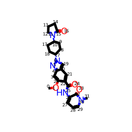 COc1cc2nn([C@H]3CC[C@H](N4CCCC4=O)CC3)cc2cc1C(=O)Nc1cccn(C)c1=O